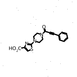 O=C(O)c1csc(N2CCN(C(=O)C#Cc3ccccc3)CC2)n1